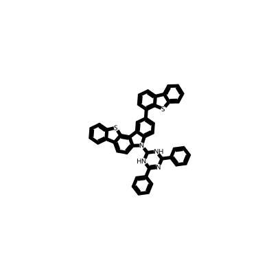 c1ccc(C2=NC(c3ccccc3)NC(n3c4ccc(-c5cccc6c5sc5ccccc56)cc4c4c5sc6ccccc6c5ccc43)N2)cc1